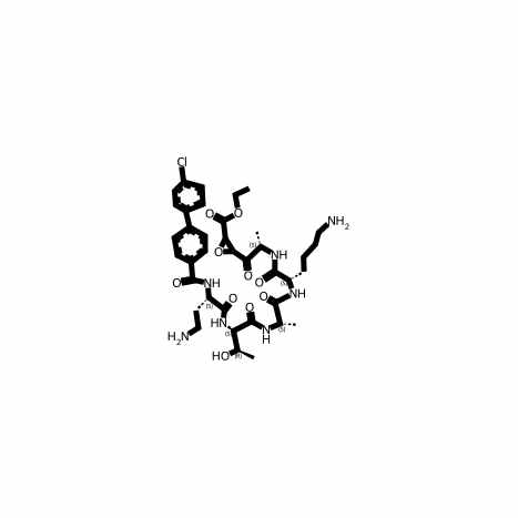 CCOC(=O)C1OC1C(=O)[C@H](C)NC(=O)[C@H](CCCCN)NC(=O)[C@H](C)NC(=O)[C@@H](NC(=O)[C@H](CCN)NC(=O)c1ccc(-c2ccc(Cl)cc2)cc1)[C@@H](C)O